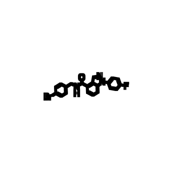 O=C(NCc1ccc(Br)cc1)c1cccc2c1cnn2-c1ccc(F)cc1